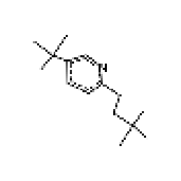 CC(C)(C)CCc1ccc(C(C)(C)C)cn1